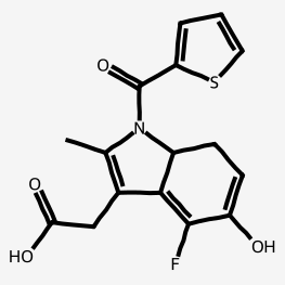 CC1=C(CC(=O)O)C2=C(F)C(O)=CCC2N1C(=O)c1cccs1